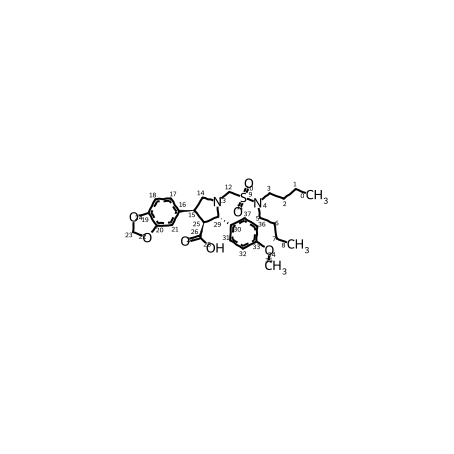 CCCCN(CCCC)S(=O)(=O)CN1C[C@H](c2ccc3c(c2)OCO3)[C@H](C(=O)O)[C@H]1c1ccc(OC)cc1